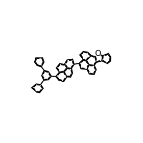 c1ccc(-c2cc(-c3ccccc3)cc(-c3ccc4ccc5c(-c6cc7cccc8c9c%10ccccc%10oc9c9cccc6c9c78)ccc6ccc3c4c65)c2)cc1